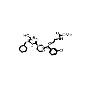 CC[C@@H](O)[C@H](CC1CCCCC1)NC(=O)N1CCO[C@@H]([C@@H](OCCNC(=O)OC)c2cccc(Cl)c2)C1